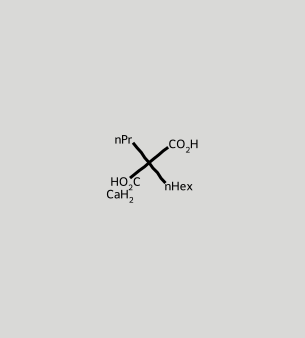 CCCCCCC(CCC)(C(=O)O)C(=O)O.[CaH2]